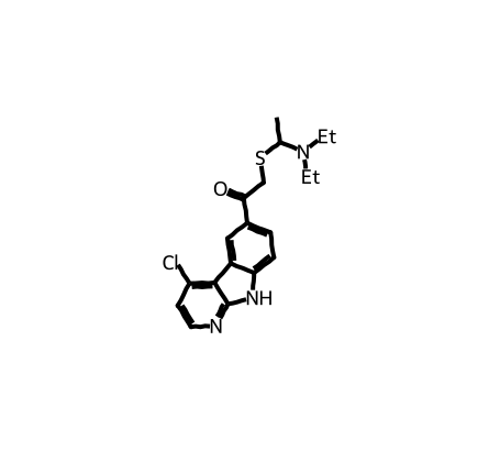 CCN(CC)C(C)SCC(=O)c1ccc2[nH]c3nccc(Cl)c3c2c1